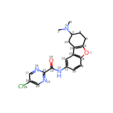 CN(C)C1CCc2oc3ccc(NC(=O)c4ncc(Cl)cn4)cc3c2C1